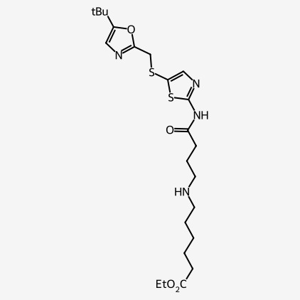 CCOC(=O)CCCCCNCCCC(=O)Nc1ncc(SCc2ncc(C(C)(C)C)o2)s1